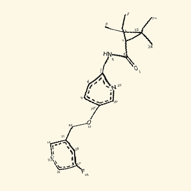 CC1(C)C(C(=O)Nc2ccc(OCc3cncc(F)c3)cn2)C1(C)C